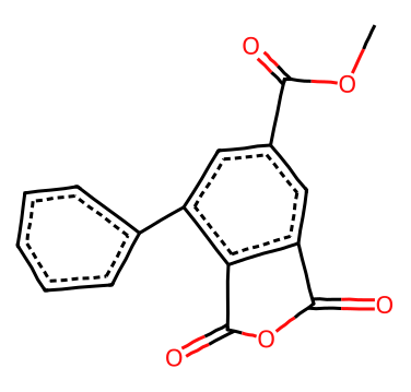 COC(=O)c1cc2c(c(-c3ccccc3)c1)C(=O)OC2=O